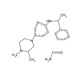 CC(Nc1ccc(N2CCN(C)C(C)C2)cc1)c1ccccc1.NC=O